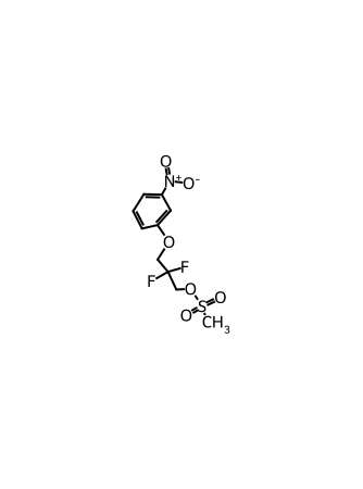 CS(=O)(=O)OCC(F)(F)COc1cccc([N+](=O)[O-])c1